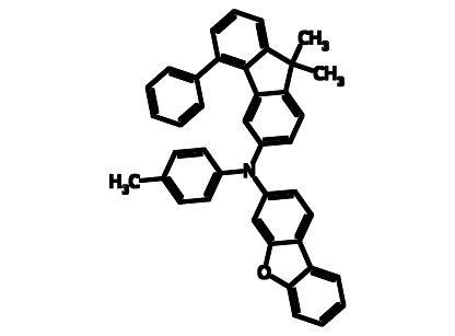 Cc1ccc(N(c2ccc3c(c2)-c2c(-c4ccccc4)cccc2C3(C)C)c2ccc3c(c2)oc2ccccc23)cc1